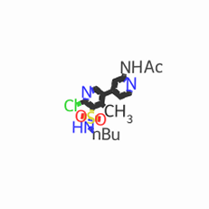 CCCCNS(=O)(=O)c1c(Cl)ncc(-c2ccnc(NC(C)=O)c2)c1C